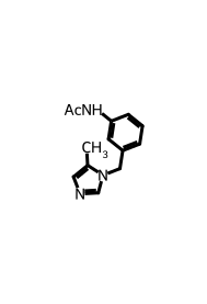 CC(=O)Nc1cccc(Cn2cncc2C)c1